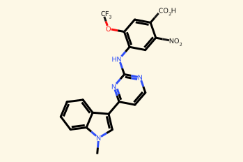 Cn1cc(-c2ccnc(Nc3cc([N+](=O)[O-])c(C(=O)O)cc3OC(F)(F)F)n2)c2ccccc21